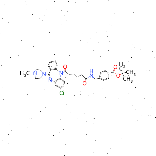 CN1CCN(C2=Nc3cc(Cl)ccc3N(C(=O)CCCCC(=O)NCc3ccc(C(=O)OC(C)(C)C)cc3)c3ccccc32)CC1